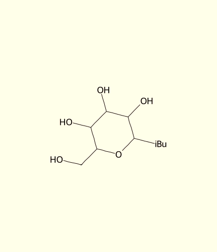 CCC(C)C1OC(CO)C(O)C(O)C1O